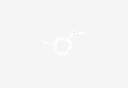 F[CH]c1cccc(F)c1